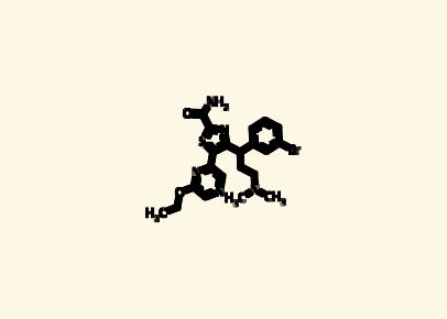 CCOc1cncc(-c2sc(C(N)=O)nc2C(CCN(C)C)c2cccc(Br)c2)n1